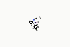 CCCN1c2ccccc2N(c2ccc(F)cc2F)C1I